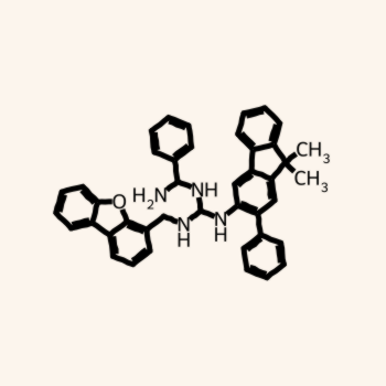 CC1(C)c2ccccc2-c2cc(NC(NCc3cccc4c3oc3ccccc34)NC(N)c3ccccc3)c(-c3ccccc3)cc21